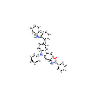 c1ccc(-c2nc3cc4c(cc3o2)c2cc(-c3cccc5c3[nH]c3ccccc35)ccc2n4-c2ccccc2)cc1